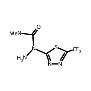 CNC(=O)N(N)c1nnc(C(F)(F)F)s1